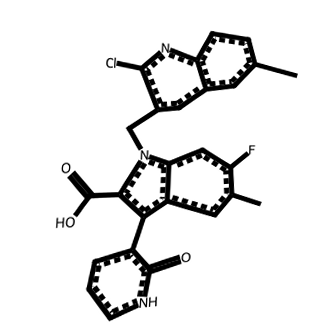 Cc1ccc2nc(Cl)c(Cn3c(C(=O)O)c(-c4ccc[nH]c4=O)c4cc(C)c(F)cc43)cc2c1